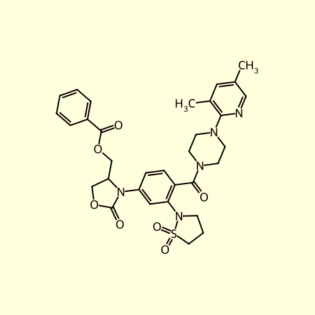 Cc1cnc(N2CCN(C(=O)c3ccc(N4C(=O)OCC4COC(=O)c4ccccc4)cc3N3CCCS3(=O)=O)CC2)c(C)c1